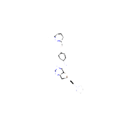 Cc1cccc(COc2ccc(Nc3ncnc4cc(C#CN5CCCC5)sc34)cc2Cl)n1